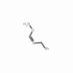 CC(C)C/N=C\ON